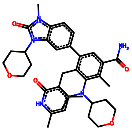 CCN(c1c(C)c(C(N)=O)cc(-c2ccc3c(c2)n(C2CCOCC2)c(=O)n3C)c1Cc1c(C)cc(C)[nH]c1=O)C1CCOCC1